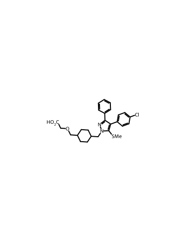 CSc1c(-c2ccc(Cl)cc2)c(-c2ccccc2)nn1CC1CCC(COCC(=O)O)CC1